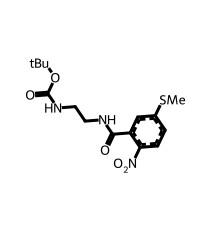 CSc1ccc([N+](=O)[O-])c(C(=O)NCCNC(=O)OC(C)(C)C)c1